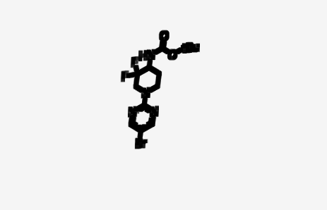 CC(C)(C)OC(=O)NC1CCN(c2ncc(Br)cn2)CC1(F)F